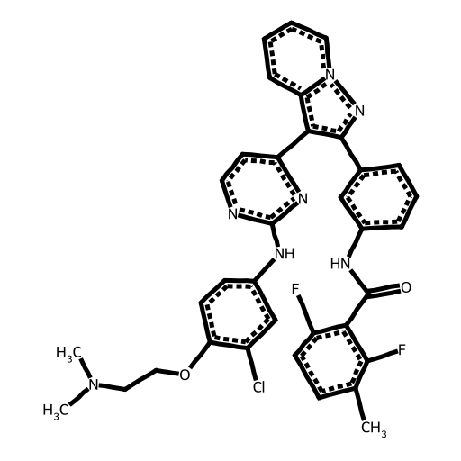 Cc1ccc(F)c(C(=O)Nc2cccc(-c3nn4ccccc4c3-c3ccnc(Nc4ccc(OCCN(C)C)c(Cl)c4)n3)c2)c1F